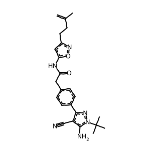 C=C(C)CCc1cc(NC(=O)Cc2ccc(-c3nn(C(C)(C)C)c(N)c3C#N)cc2)on1